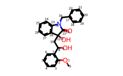 COc1ccccc1C(O)CC1(O)C(=O)N(Cc2ccccc2)c2ccccc21